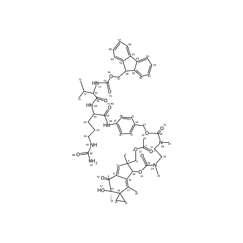 CC(=O)OCC1(C)C=C2C(=O)[C@](C)(O)C3(CC3)C(C)=C2C1OC(=O)N(C)CCN(C)C(=O)OCc1ccc(NC(=O)C(CCCNC(N)=O)NC(=O)C(NC(=O)OCC2c3ccccc3-c3ccccc32)C(C)C)cc1